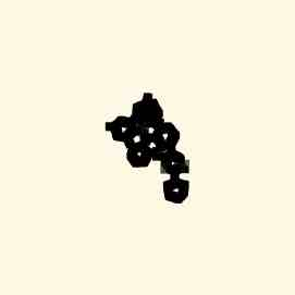 Cc1cc(C)c2c(c1)c1cc(C)cc(C)c1n2B1c2ccccc2-n2c3nc(-c4ccccc4)ncc3c3ccc(-c4ccccc4)c1c32